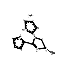 CC(C)(C)[C@H]1COC(c2ccc[cH-]2)=N1.[Fe+2].c1cc[cH-]c1